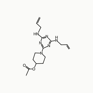 C=CCNc1nc(NCC=C)nc(N2CCC(OC(C)=O)CC2)n1